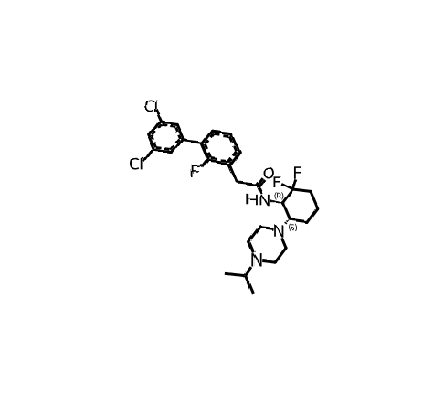 CC(C)N1CCN([C@H]2CCCC(F)(F)[C@@H]2NC(=O)Cc2cccc(-c3cc(Cl)cc(Cl)c3)c2F)CC1